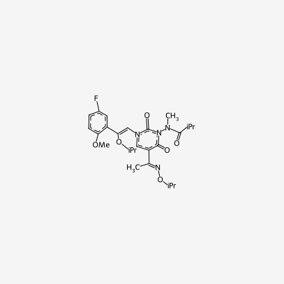 COc1ccc(F)cc1/C(=C/n1cc(/C(C)=N/OC(C)C)c(=O)n(N(C)C(=O)C(C)C)c1=O)OC(C)C